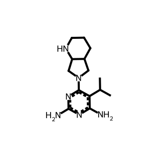 CC(C)c1c(N)nc(N)nc1N1CC2CCCNC2C1